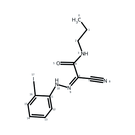 CCCNC(=O)C(C#N)=NNc1ccccc1I